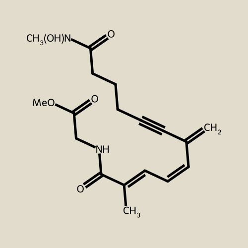 C=C(C#CCCCC(=O)N(C)O)/C=C\C=C(/C)C(=O)NCC(=O)OC